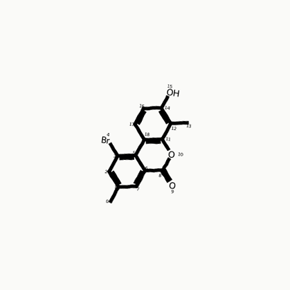 Cc1cc(Br)c2c(c1)c(=O)oc1c(C)c(O)ccc12